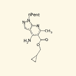 CCCCCn1ncc2c(N)c(C(=O)OCC3CC3)c(C)nc21